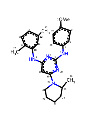 COc1ccc(Nc2nc(Nc3cc(C)ccc3C)cc(N3CCCCC3C)n2)cc1